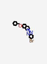 Cn1c(N2CCc3ccc(OCc4ccccc4)cc3C2)nc2cc(Br)ccc21